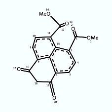 COC(=O)c1ccc2c3c(ccc(C(=O)OC)c13)C(=O)CC2=O